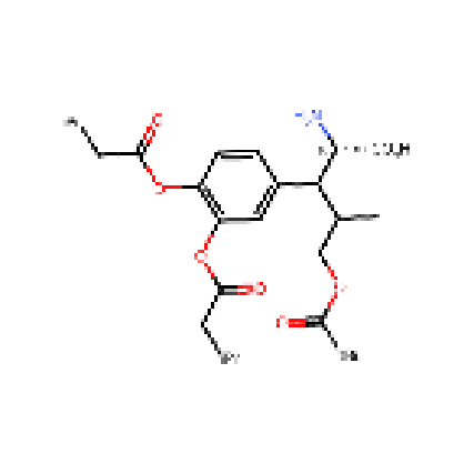 CC(C)CC(=O)Oc1ccc(C(C(C)COC(=O)C(C)(C)C)[C@H](N)C(=O)O)cc1OC(=O)CC(C)C